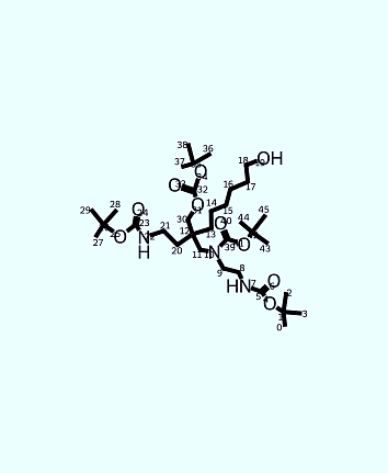 CC(C)(C)OC(=O)NCCN(CC(CCCCCCO)(CCNC(=O)OC(C)(C)C)COC(=O)OC(C)(C)C)C(=O)OC(C)(C)C